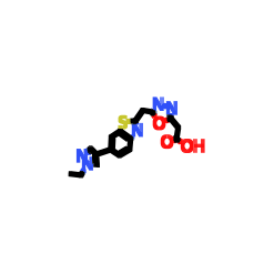 CCn1cc(-c2ccc3nc(Cc4nnc(CC(=O)O)o4)sc3c2)cn1